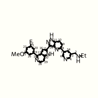 CCNCc1cncc(-c2ccc3[nH]nc(-c4cc5c(-c6cc(F)cc(OC)c6)nccc5[nH]4)c3n2)c1